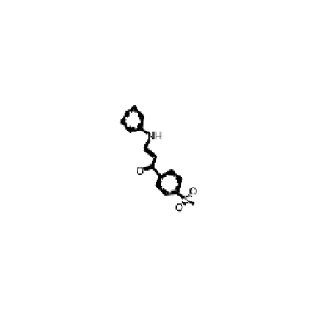 CS(=O)(=O)c1ccc(C(=O)C=CNc2ccccc2)cc1